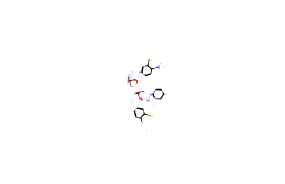 CC(O)(COC(C)(Cn1cnc2cc(F)ccc21)C(=O)Nc1ccc(C#N)c(C(F)(F)F)c1)C(=O)Nc1ccc(C#N)c(C(F)(F)F)c1